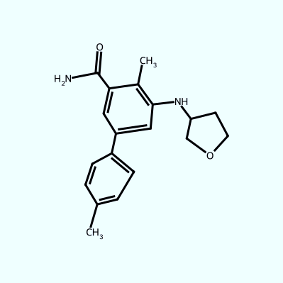 Cc1ccc(-c2cc(NC3CCOC3)c(C)c(C(N)=O)c2)cc1